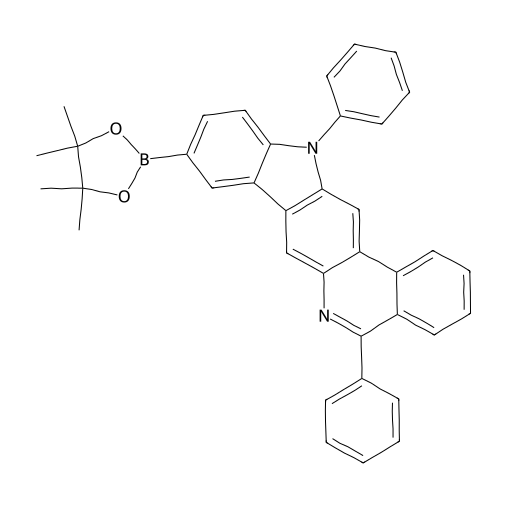 CC1(C)OB(c2ccc3c(c2)c2cc4nc(-c5ccccc5)c5ccccc5c4cc2n3-c2ccccc2)OC1(C)C